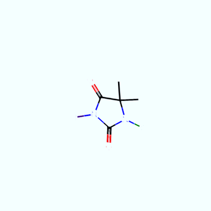 CC1(C)C(=O)N(I)C(=O)N1Cl